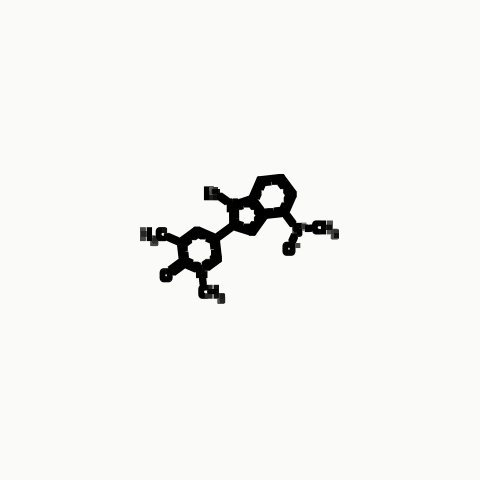 CCn1c(-c2cc(C)c(=O)n(C)c2)cc2c([S+](C)[O-])cccc21